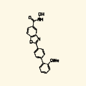 COc1ccccc1-c1ccc(-c2nc3cc(C(=O)NO)ccc3o2)cc1